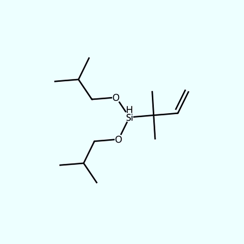 C=CC(C)(C)[SiH](OCC(C)C)OCC(C)C